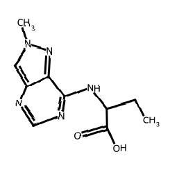 CCC(Nc1ncnc2cn(C)nc12)C(=O)O